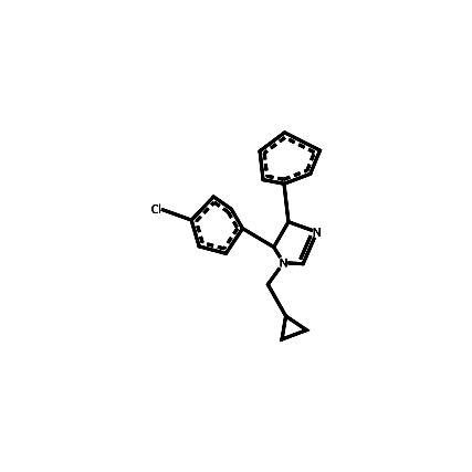 Clc1ccc(C2C(c3ccccc3)N=CN2CC2CC2)cc1